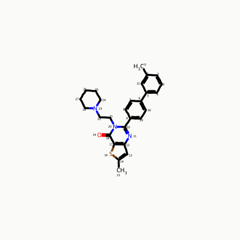 Cc1cccc(-c2ccc(-c3nc4cc(C)sc4c(=O)n3CCN3CCCCC3)cc2)c1